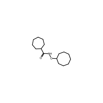 O=C(NOC1CCCCCCC1)C1CCCCCC1